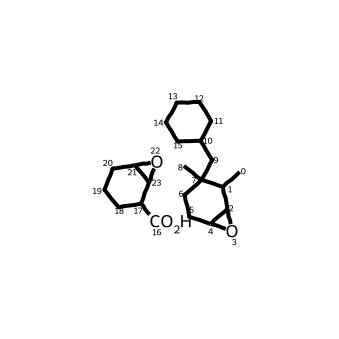 CC1C2OC2CCC1(C)CC1CCCCC1.O=C(O)C1CCCC2OC21